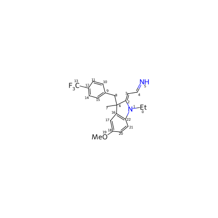 CCN1/C(=C\C=N)C(C)(Cc2ccc(C(F)(F)F)cc2)c2cc(OC)ccc21